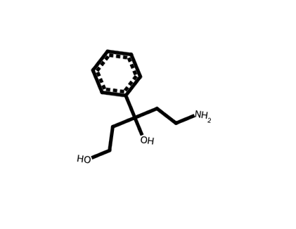 NCCC(O)(CCO)c1ccccc1